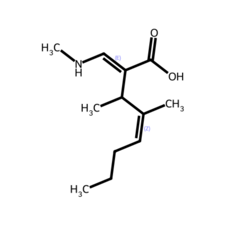 CCC/C=C(/C)C(C)/C(=C\NC)C(=O)O